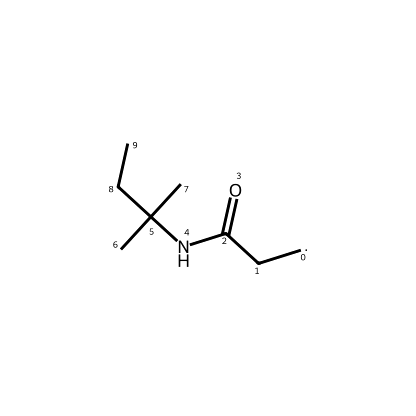 [CH2]CC(=O)NC(C)(C)CC